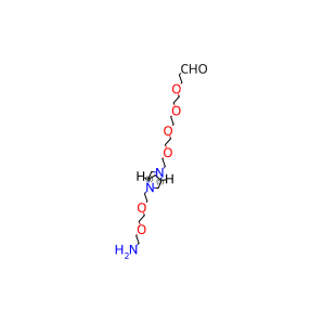 NCCOCCOCCN1C[C@@H]2C[C@H]1CN2CCOCCOCCOCCOCCC=O